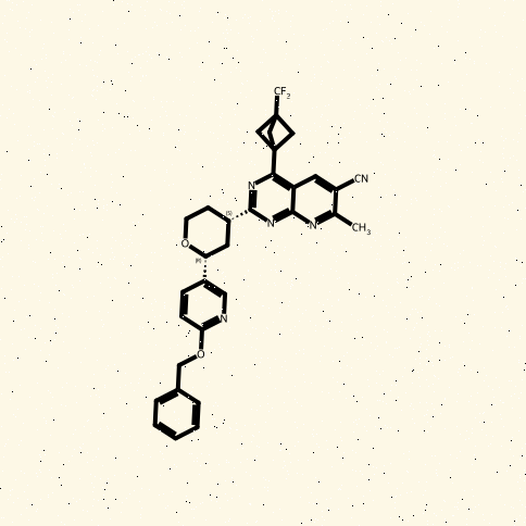 Cc1nc2nc([C@H]3CCO[C@@H](c4ccc(OCc5ccccc5)nc4)C3)nc(C34CC(C(F)(F)F)(C3)C4)c2cc1C#N